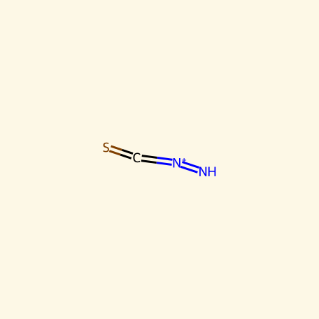 N=[N+]=C=S